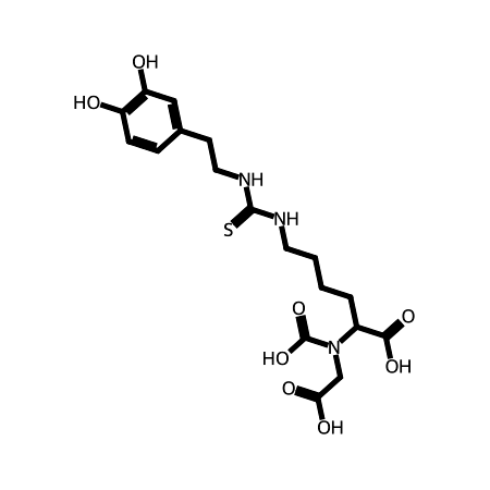 O=C(O)CN(C(=O)O)C(CCCCNC(=S)NCCc1ccc(O)c(O)c1)C(=O)O